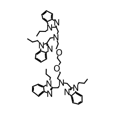 CCCn1c(CN(CCOCCOCCN(Cc2nc3ccccc3n2CCC)Cc2nc3ccccc3n2CCC)Cc2nc3ccccc3n2CCC)nc2ccccc21